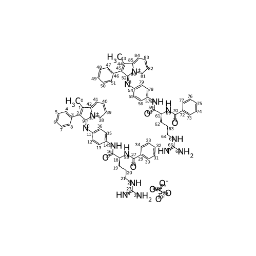 CC1=C(c2ccccc2)C(=Nc2ccc(NC(=O)[C@H](CCCNC(=N)N)NC(=O)c3ccccc3)cc2)[n+]2ccccc21.CC1=C(c2ccccc2)C(=Nc2ccc(NC(=O)[C@H](CCCNC(=N)N)NC(=O)c3ccccc3)cc2)[n+]2ccccc21.O=S(=O)([O-])[O-]